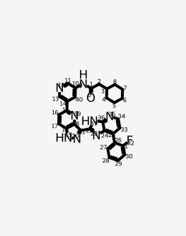 O=C(CC1CCCCC1)Nc1cncc(-c2ccc3[nH]nc(-c4nc5c(-c6ccccc6F)ccnc5[nH]4)c3n2)c1